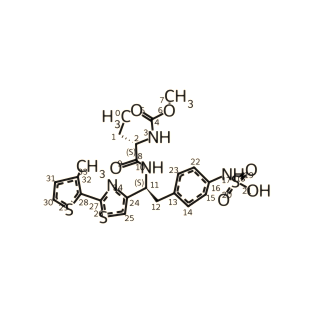 CC[C@H](NC(=O)OC)C(=O)N[C@@H](Cc1ccc(NS(=O)(=O)O)cc1)c1csc(-c2sccc2C)n1